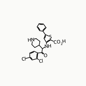 O=C(O)c1sc(-c2ccccc2)cc1NC(C(=O)c1ccc(Cl)cc1Cl)C1CCNCC1